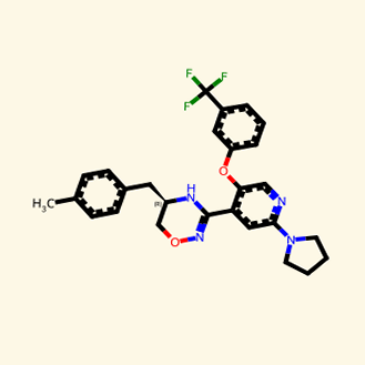 Cc1ccc(C[C@@H]2CON=C(c3cc(N4CCCC4)ncc3Oc3cccc(C(F)(F)F)c3)N2)cc1